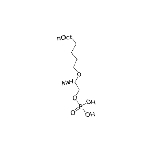 CCCCCCCCCCCCOCCOP(=O)(O)O.[NaH]